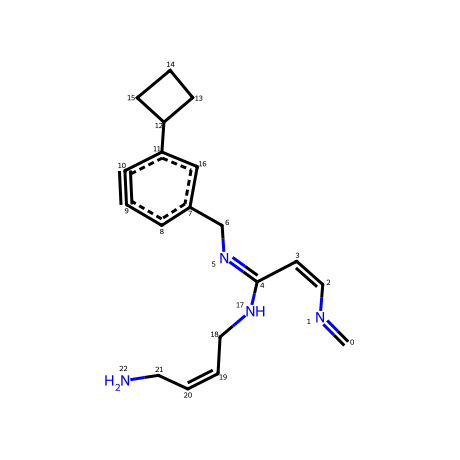 C=N/C=C\C(=N/Cc1cc#cc(C2CCC2)c1)NC/C=C\CN